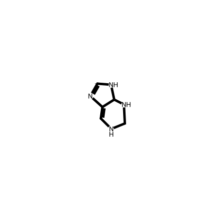 [C]1=NC2=CNCNC2N1